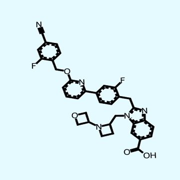 N#Cc1ccc(COc2cccc(-c3ccc(Cc4nc5ccc(C(=O)O)cc5n4CC4CCN4C4COC4)c(F)c3)n2)c(F)c1